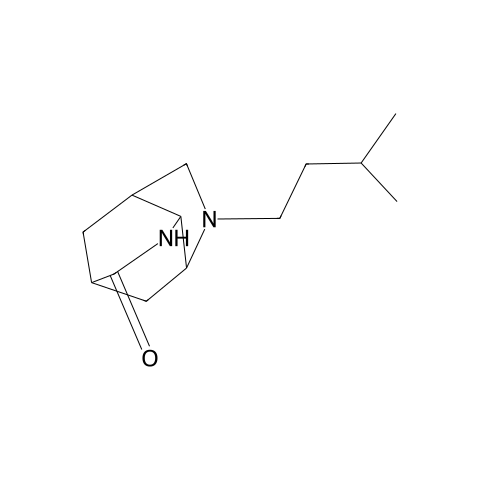 CC(C)CCN1CC2CC3CC1C2NC3=O